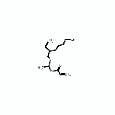 C=CC(=O)OC(C)OCC(CC)CCCCC